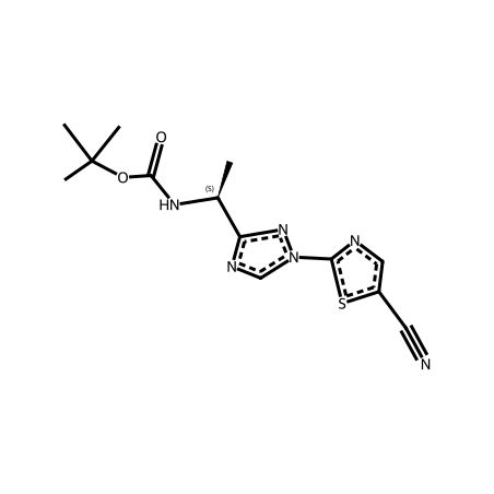 C[C@H](NC(=O)OC(C)(C)C)c1ncn(-c2ncc(C#N)s2)n1